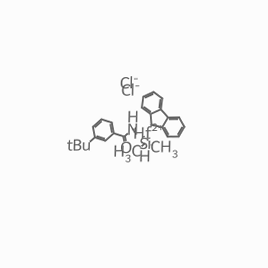 C[SiH](C)[Hf+2]([NH]C(=O)c1cccc(C(C)(C)C)c1)[CH]1c2ccccc2-c2ccccc21.[Cl-].[Cl-]